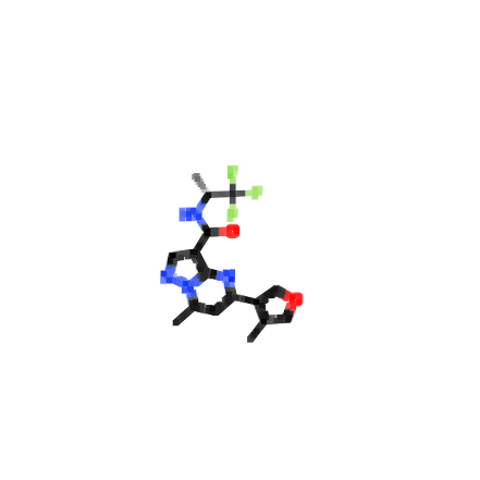 Cc1cocc1-c1cc(C)n2ncc(C(=O)N[C@H](C)C(F)(F)F)c2n1